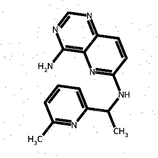 Cc1cccc(C(C)Nc2ccc3ncnc(N)c3n2)n1